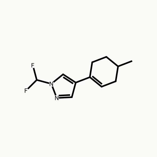 CC1CC=C(c2cnn(C(F)F)c2)CC1